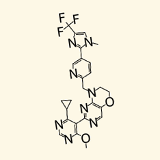 COc1ncnc(C2CC2)c1-c1ncc2c(n1)N(Cc1ccc(-c3nc(C(F)(F)F)cn3C)cn1)CCO2